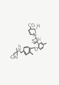 Cc1ccc(OCc2ccc(CNC(C)(C)CO)cc2C)c(C2=CSC(N3CCC(C(=O)O)CC3)N2)c1